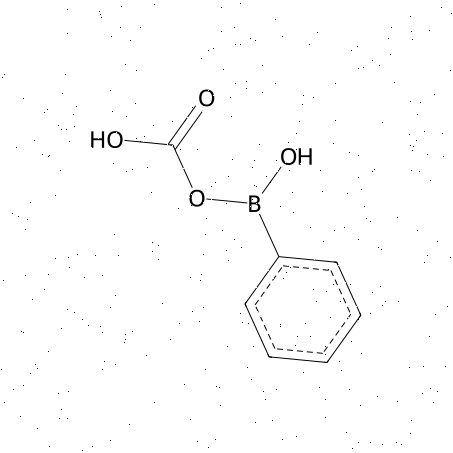 O=C(O)OB(O)c1ccccc1